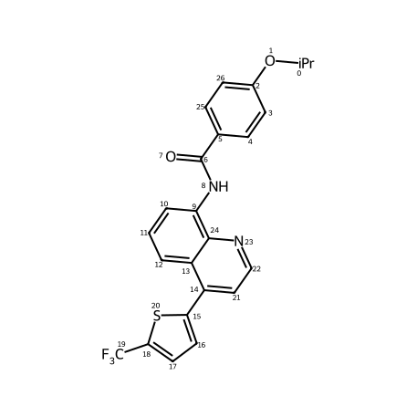 CC(C)Oc1ccc(C(=O)Nc2cccc3c(-c4ccc(C(F)(F)F)s4)ccnc23)cc1